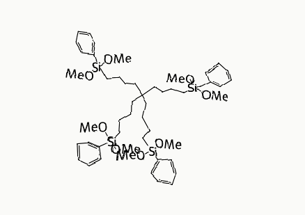 CO[Si](CCCCC(CCCC[Si](OC)(OC)c1ccccc1)(CCCC[Si](OC)(OC)c1ccccc1)CCCC[Si](OC)(OC)c1ccccc1)(OC)c1ccccc1